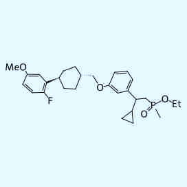 CCOP(C)(=O)CC(c1cccc(OC[C@H]2CC[C@H](c3cc(OC)ccc3F)CC2)c1)C1CC1